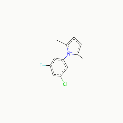 Cc1ccc(C)n1-c1cc(F)cc(Cl)c1